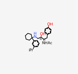 CC(=O)N[C@@H](Cc1ccc(O)cc1)[C@H](O)CNC1(c2cccc(C(C)C)c2)CCCCC1